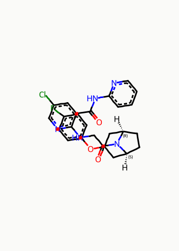 O=C(Nc1ccccn1)c1cc(Cl)cnc1NCC(=O)N1[C@@H]2CC[C@H]1CC(Oc1ccc(F)cc1)C2